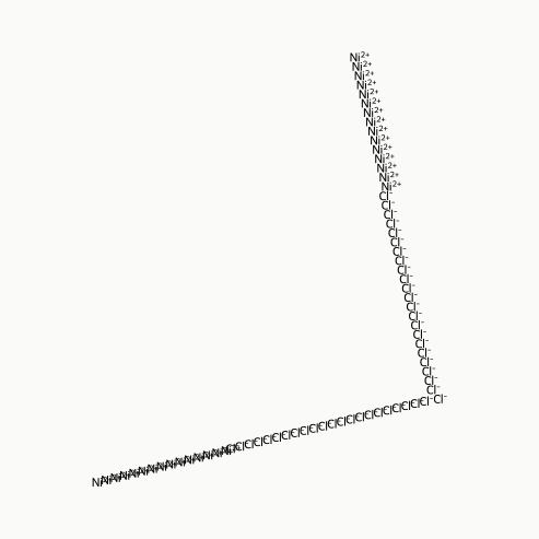 [Cl-].[Cl-].[Cl-].[Cl-].[Cl-].[Cl-].[Cl-].[Cl-].[Cl-].[Cl-].[Cl-].[Cl-].[Cl-].[Cl-].[Cl-].[Cl-].[Cl-].[Cl-].[Cl-].[Cl-].[Cl-].[Cl-].[Cl-].[Cl-].[Cl-].[Cl-].[Cl-].[Cl-].[Cl-].[Cl-].[Cl-].[Cl-].[Cl-].[Cl-].[Cl-].[Cl-].[Cl-].[Cl-].[Cl-].[Cl-].[Cl-].[Cl-].[Cl-].[Cl-].[Cl-].[Ni+2].[Ni+2].[Ni+2].[Ni+2].[Ni+2].[Ni+2].[Ni+2].[Ni+2].[Ni+2].[Ni+2].[Ni+2].[Ni+2].[Ni+2].[Ni+2].[Ni+2].[Ni+2].[Ni+2].[Ni+2].[Ni+2].[Ni+2].[Ni+2].[Ni+2].[Ni+2].[Ni+2].[Ni+2].[Ni+2].[Ni+2].[Ni+2].[Ni+2].[Ni+2]